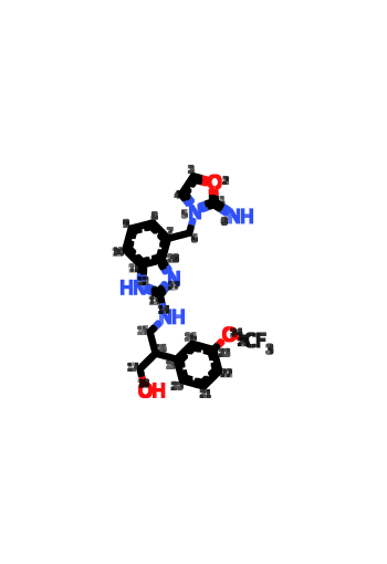 N=c1occn1Cc1cccc2[nH]c(NCC(CO)c3cccc(OC(F)(F)F)c3)nc12